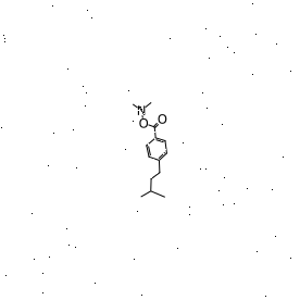 CC(C)CCc1ccc(C(=O)ON(C)C)cc1